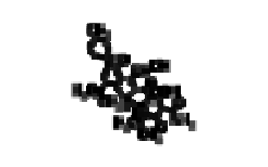 Cc1ccc(-c2cc(N(C)C)c3c(c2O)C(O)=C2C(=O)[C@]4(O)C(O)=C(C(N)=O)C(=O)[C@@H](N(C)C)[C@@H]4C[C@@H]2C3)cc1.Cl